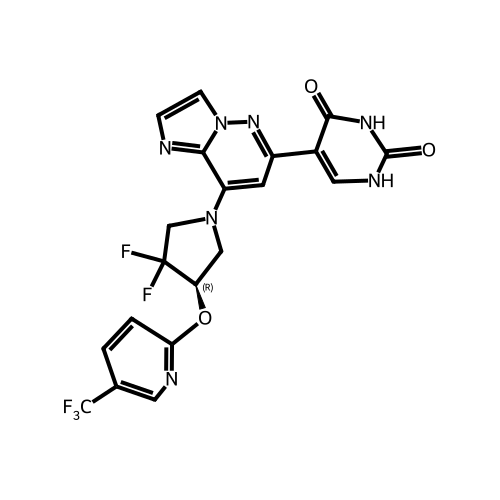 O=c1[nH]cc(-c2cc(N3C[C@@H](Oc4ccc(C(F)(F)F)cn4)C(F)(F)C3)c3nccn3n2)c(=O)[nH]1